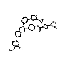 COc1ccc([C@H]2CC[C@H](CN(c3cc(-c4coc(C5CC5)n4)ccn3)C(=O)[C@H]3CC[C@H](OC(=O)N4CC(N(C)C)C4)CC3)CC2)nc1C